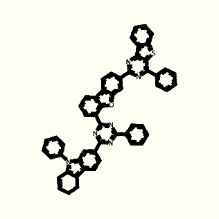 C1=Cc2c(c3ccc(-c4nc(-c5ccccc5)nc(-c5cccc6c5oc5cc(-c7nc(-c8ccccc8)c8sc9ccccc9c8n7)ccc56)n4)cc3n2-c2ccccc2)CC1